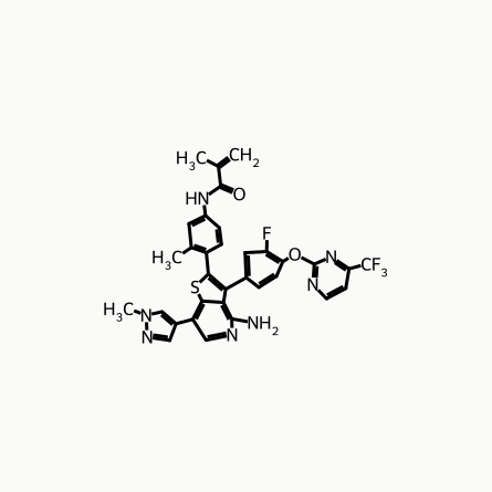 C=C(C)C(=O)Nc1ccc(-c2sc3c(-c4cnn(C)c4)cnc(N)c3c2-c2ccc(Oc3nccc(C(F)(F)F)n3)c(F)c2)c(C)c1